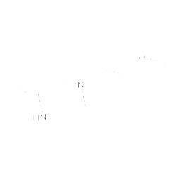 COCCN1CCNC(C)C1